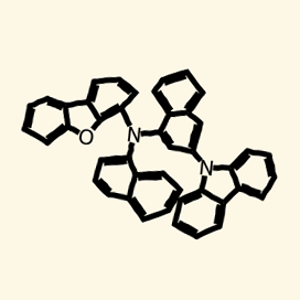 c1ccc2c(N(c3cc(-n4c5ccccc5c5ccccc54)cc4ccccc34)c3cccc4c3oc3ccccc34)cccc2c1